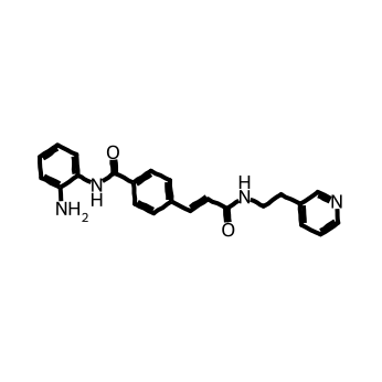 Nc1ccccc1NC(=O)c1ccc(/C=C/C(=O)NCCc2cccnc2)cc1